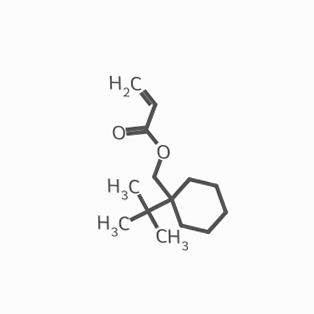 C=CC(=O)OCC1(C(C)(C)C)CCCCC1